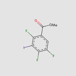 COC(=O)c1cc(F)c(F)c(I)c1F